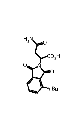 CCCCc1cccc2c1C(=O)N(C(CC(N)=O)C(=O)O)C2=O